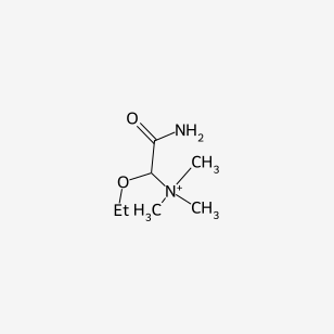 CCOC(C(N)=O)[N+](C)(C)C